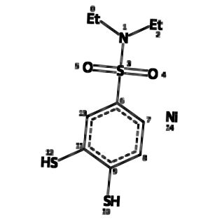 CCN(CC)S(=O)(=O)c1ccc(S)c(S)c1.[Ni]